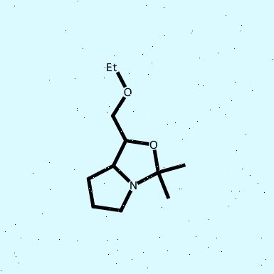 CCOCC1OC(C)(C)N2CCCC12